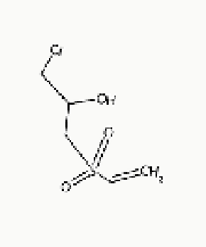 C=CS(=O)(=O)CC(O)[CH2][Cr]